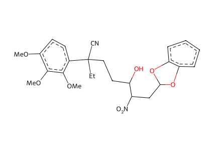 CCC(C#N)(CCC(O)C(CC1Oc2ccccc2O1)[N+](=O)[O-])c1ccc(OC)c(OC)c1OC